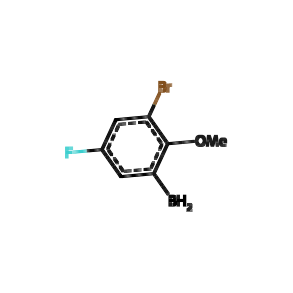 Bc1cc(F)cc(Br)c1OC